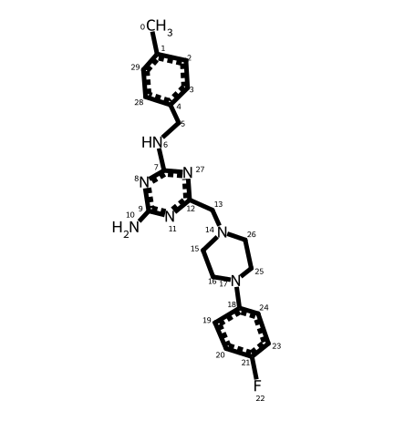 Cc1ccc(CNc2nc(N)nc(CN3CCN(c4ccc(F)cc4)CC3)n2)cc1